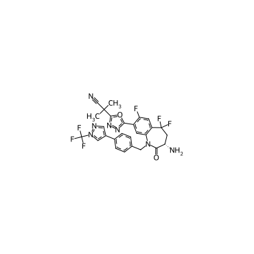 CC(C)(C#N)c1nnc(-c2cc3c(cc2F)C(F)(F)C[C@H](N)C(=O)N3Cc2ccc(-c3cnn(C(F)(F)F)c3)cc2)o1